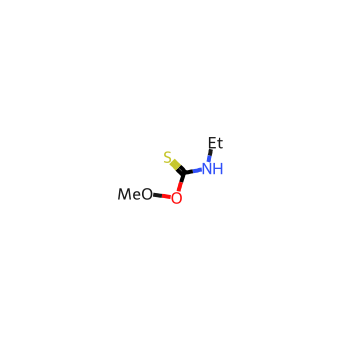 CCNC(=S)OOC